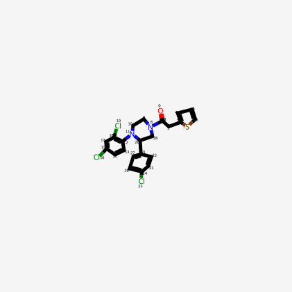 O=C(Cc1cccs1)N1CCN(c2ccc(Cl)cc2Cl)C(c2ccc(Cl)cc2)C1